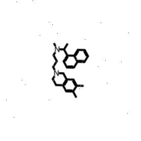 Cc1cc2c(cc1C)CN(CCCN(C)C(C)c1cccc3ccccc13)CC2